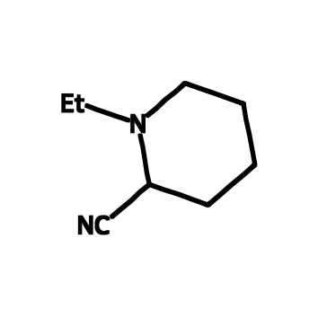 CCN1CCCCC1C#N